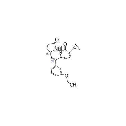 CCOc1cccc(/C(=C/[C@H]2CCC(=O)N2)c2ccc(C3CC3)c(=O)[nH]2)c1